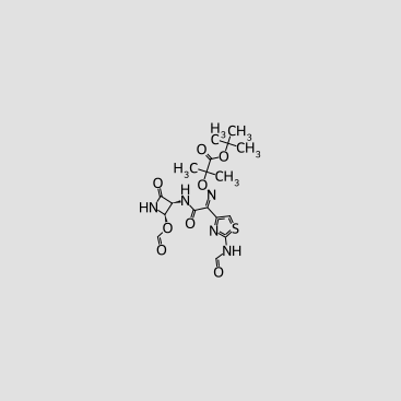 CC(C)(C)OC(=O)C(C)(C)O/N=C(\C(=O)N[C@@H]1C(=O)N[C@@H]1OC=O)c1csc(NC=O)n1